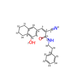 N#CC(=Cc1cc(O)c2c(c1)CCCC2)C(=O)NCCc1ccccc1